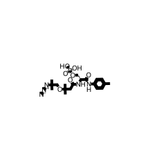 Cc1ccc(NC(=O)[C@@H](COP(=O)(O)O)NC(=O)CC(C)(C)OCC(C)(C)N=[N+]=[N-])cc1